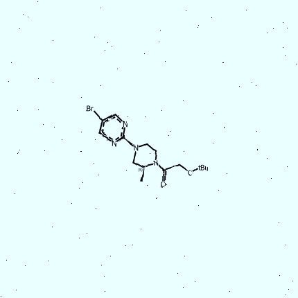 C[C@H]1CN(c2ncc(Br)cn2)CCN1C(=O)COC(C)(C)C